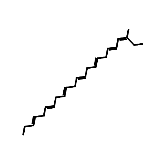 CCC=CCC=CCC=CCC=CCC=CCC=CC=C(C)CC